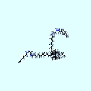 CCCCC/C=C\C/C=C\CCCCCCCCC1(CCCCCCCC/C=C\C/C=C\CCCCC)O[C@H]2[C@@H](C)N(C)[C@@H](CC)C[C@H]2O1